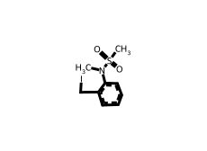 CN(c1ccccc1CI)S(C)(=O)=O